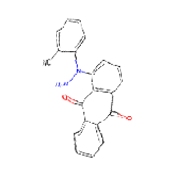 N#Cc1ccccc1N(N)c1cccc2c1C(=O)c1ccccc1C2=O